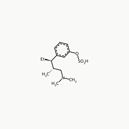 CC[C@@H](c1cccc(OS(=O)(=O)O)c1)[C@@H](C)CN(C)C